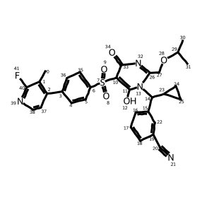 Cc1c(-c2ccc(S(=O)(=O)c3c(O)n(C(c4cccc(C#N)c4)C4CC4)c(COC(C)C)nc3=O)cc2)ccnc1F